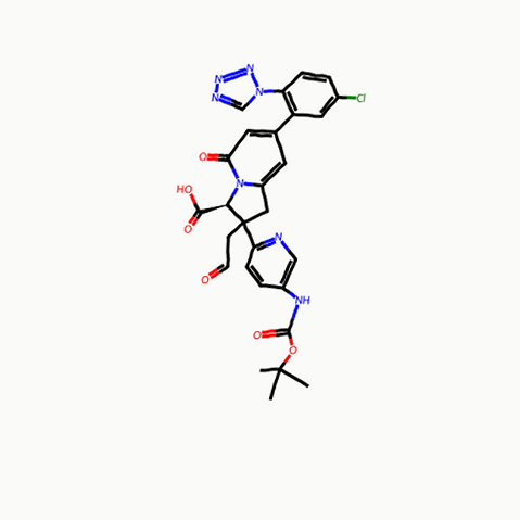 CC(C)(C)OC(=O)Nc1ccc(C2(CC=O)Cc3cc(-c4cc(Cl)ccc4-n4cnnn4)cc(=O)n3[C@@H]2C(=O)O)nc1